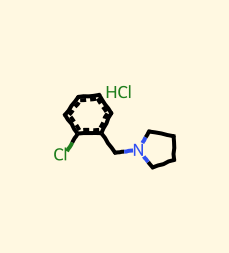 Cl.Clc1ccccc1CN1CCCC1